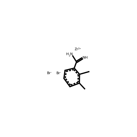 Cc1cccc(C(=N)N)c1C.[Br-].[Br-].[Zr+2]